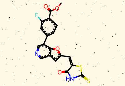 COC(=O)c1ccc(-c2cncc3cc(/C=C4/SC(=S)NC4=O)oc23)cc1F